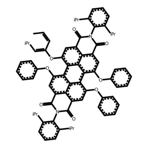 C/C=C\C(=C/C(C)C)Oc1cc2c3c(cc(Oc4ccccc4)c4c5c(Oc6ccccc6)cc6c7c(cc(Oc8ccccc8)c(c1c34)c75)C(=O)N(c1c(C(C)C)cccc1C(C)C)C6=O)C(=O)N(c1c(C(C)C)cccc1C(C)C)C2=O